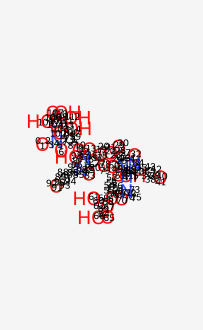 COCCNC(=O)c1cc(COC(=O)N2c3cc(OCCCOc4cc5c(cc4OC)C(=O)N4C=C(c6ccc(OC)cc6)C[C@H]4C(O)N5C(=O)OCc4ccc(O[C@H]5C[C@@H](O)C[C@@H](C(=O)O)O5)c(C(=O)NC(C)(C)C)c4)c(OC)cc3C(=O)N3C=C(c4ccc(OC)cc4)CC3C2O)ccc1O[C@@H]1O[C@H](C(=O)O)[C@@H](O)[C@H](O)[C@H]1O